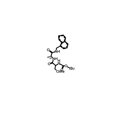 COCC(NC(=O)OC(C)(C)C)C(=O)N[C@@H](C)C(=O)NCc1cccc2ccccc12